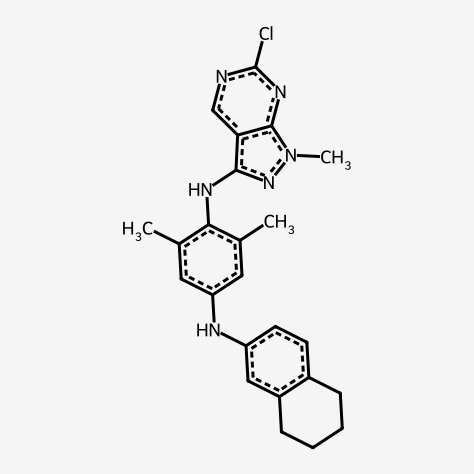 Cc1cc(Nc2ccc3c(c2)CCCC3)cc(C)c1Nc1nn(C)c2nc(Cl)ncc12